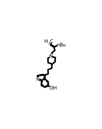 CC=C(CCCC)CCN1CCC(CCCc2ccnc3ccc(O)cc23)CC1